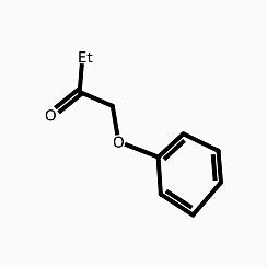 CCC(=O)COc1ccccc1